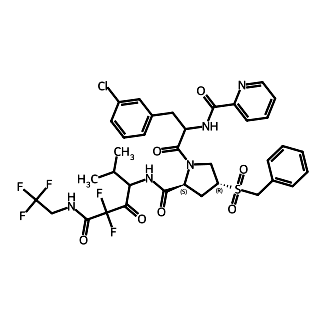 CC(C)C(NC(=O)[C@@H]1C[C@@H](S(=O)(=O)Cc2ccccc2)CN1C(=O)C(Cc1cccc(Cl)c1)NC(=O)c1ccccn1)C(=O)C(F)(F)C(=O)NCC(F)(F)F